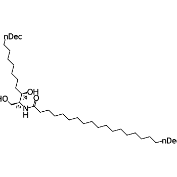 CCCCCCCCCCCCCCCCCCCCCCCCCCCC(=O)N[C@@H](CO)[C@H](O)CCCCCCCCCCCCCCCCC